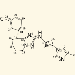 Cc1cn(C23CC(Nc4nc5n(n4)CCCC[C@@H]5c4cccc(Cl)c4)(C2)C3)cn1